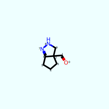 O=CC12CCCC1=NNC2